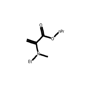 C=C(C(=O)OCCC)N(C)CC